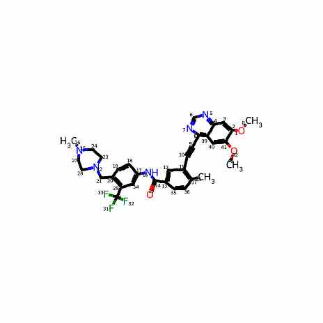 COc1cc2ncnc(C#Cc3cc(C(=O)Nc4ccc(CN5CCN(C)CC5)c(C(F)(F)F)c4)ccc3C)c2cc1OC